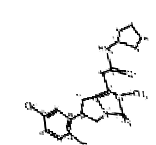 Cn1c(CC(=O)NC2CCCC2)c2n(c1=S)CC(c1cc(Cl)ccc1F)C2